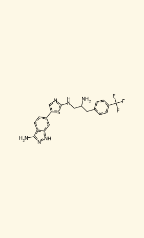 Nc1n[nH]c2cc(-c3cnc(NCC(N)Cc4ccc(C(F)(F)F)cc4)s3)ccc12